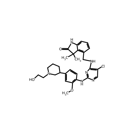 COc1cc(C2CCCN(CCO)C2)ccc1Nc1ncc(Cl)c(NCc2cccc3c2C(C)(C)C(=O)N3)n1